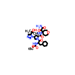 CC(C)(C)OC(=O)NC(CC1CCCCC1)C(=O)N1C[C@@H](n2nncc2C(C)(C)O)C[C@H]1C(=O)NC1(C(=O)C(N)=O)CCCOCC1